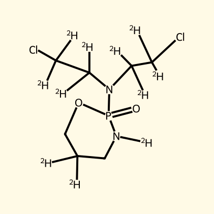 [2H]N1CC([2H])([2H])COP1(=O)N(C([2H])([2H])C([2H])([2H])Cl)C([2H])([2H])C([2H])([2H])Cl